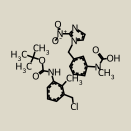 CN(C(=O)O)c1cccc(Cn2ccnc2[N+](=O)[O-])c1.Cc1c(CCl)cccc1NC(=O)OC(C)(C)C